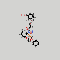 CCOP(=O)(COc1ccccc1)C1(NCCCOc2cccc(O)c2)CCCCC1O